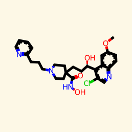 COc1ccc2ncc(Cl)c([C@H](O)CCC3(C(=O)NO)CCN(CCCc4ccccn4)CC3)c2c1